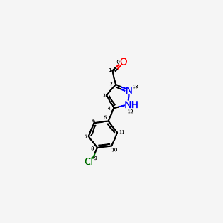 O=Cc1cc(-c2ccc(Cl)cc2)[nH]n1